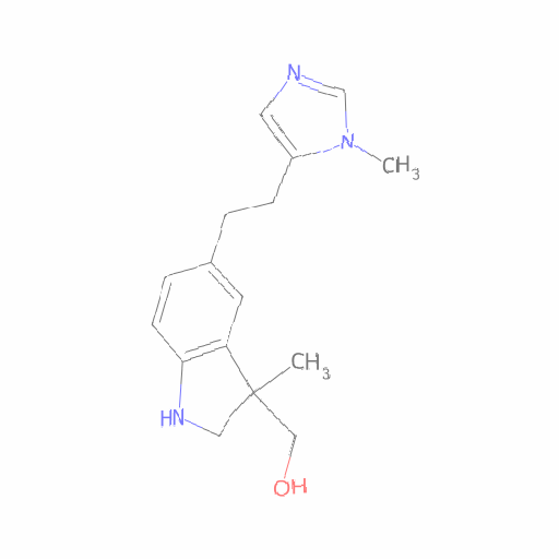 Cn1cncc1CCc1ccc2c(c1)C(C)(CO)CN2